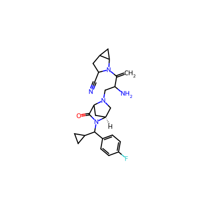 C=C(C(N)CN1C[C@@H]2CC1C(=O)N2C(c1ccc(F)cc1)C1CC1)N1C(C#N)CC2CC21